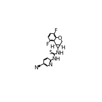 N#Cc1ccc(NC(=S)N[C@@H]2[C@@H]3COc4c(F)ccc(F)c4[C@@H]32)nc1